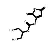 CCC(CC)OC(=O)OC1=CC(=O)NC1=O